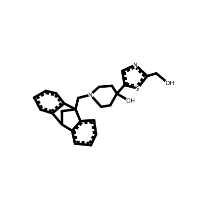 OCc1ncc(C2(O)CCN(CC34CC(c5ccccc53)c3ccccc34)CC2)s1